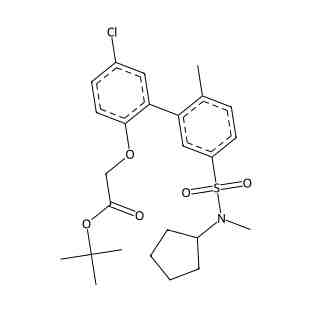 Cc1ccc(S(=O)(=O)N(C)C2CCCC2)cc1-c1cc(Cl)ccc1OCC(=O)OC(C)(C)C